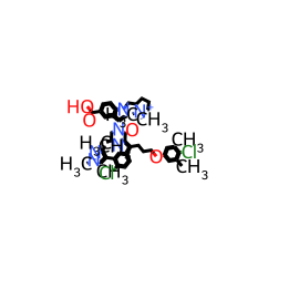 Cc1cc(OCCCc2c3n(c4c(-c5c(C)nn(C)c5C)c(Cl)ccc24)C(C)CN(c2cn(CC4CCC[N+]4(C)C)c4ccc(C(=O)O)cc24)C3=O)cc(C)c1Cl